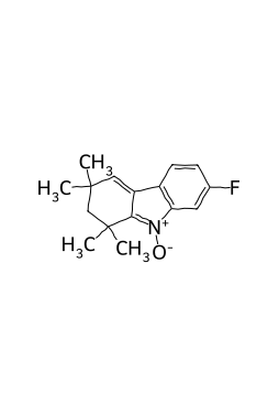 CC1(C)C=C2C(=[N+]([O-])c3cc(F)ccc32)C(C)(C)C1